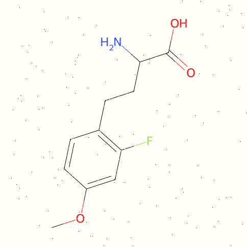 COc1ccc(CCC(N)C(=O)O)c(F)c1